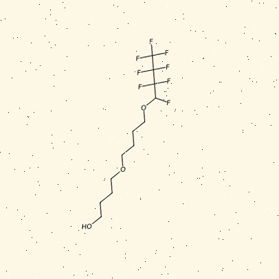 OCCCCOCCCCOC(F)C(F)(F)C(F)(F)C(F)(F)F